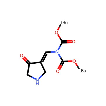 CC(C)(C)OC(=O)N(C=C1CNCC1=O)C(=O)OC(C)(C)C